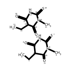 CCC1C(=O)NC(=S)N(C)C1=O.CCC1C(=O)NC(=S)N(C)C1=O